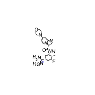 Cc1c(F)cc(/C(N)=N/O)cc1NC(=O)c1cnc2cc(N3CCOCC3)ccn12